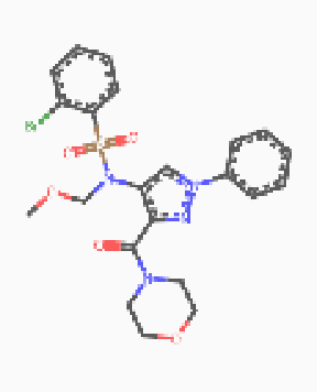 COCN(c1cn(-c2ccccc2)nc1C(=O)N1CCOCC1)S(=O)(=O)c1ccccc1Br